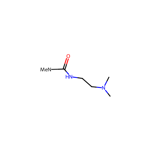 CNC(=O)NCCN(C)C